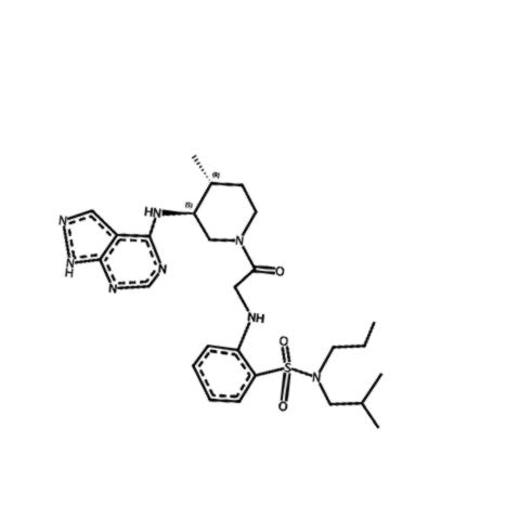 CCCN(CC(C)C)S(=O)(=O)c1ccccc1NCC(=O)N1CC[C@@H](C)[C@H](Nc2ncnc3[nH]ncc23)C1